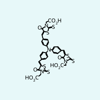 O=C(O)CN1C(=O)C(=Cc2ccc(N(c3ccc(/C=C4\SC(=S)N(CC(=O)O)C4=O)cc3)c3ccc(/C=C4/SC(=S)N(CC(=O)O)C4=O)cc3)cc2)SC1=S